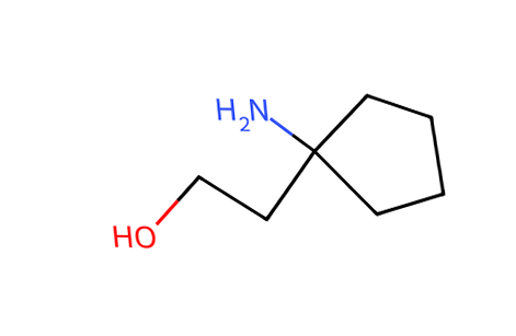 NC1(CCO)CCCC1